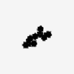 c1ccc(-c2nc(-c3ccc(-c4ccc5sc6c7ccccc7nc(-c7ccccc7)c6c5c4)cc3)nc(-c3cccc4c3sc3ccccc34)n2)cc1